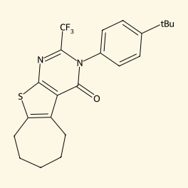 CC(C)(C)c1ccc(-n2c(C(F)(F)F)nc3sc4c(c3c2=O)CCCCC4)cc1